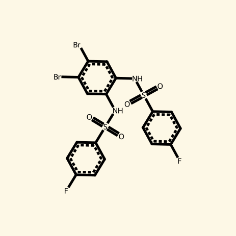 O=S(=O)(Nc1cc(Br)c(Br)cc1NS(=O)(=O)c1ccc(F)cc1)c1ccc(F)cc1